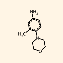 [CH2]c1cc(N)ccc1N1CCOCC1